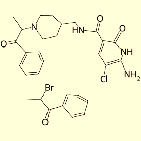 CC(Br)C(=O)c1ccccc1.CC(C(=O)c1ccccc1)N1CCC(CNC(=O)c2cc(Cl)c(N)[nH]c2=O)CC1